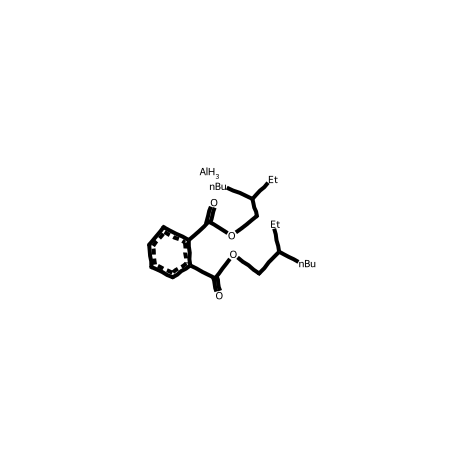 CCCCC(CC)COC(=O)c1ccccc1C(=O)OCC(CC)CCCC.[AlH3]